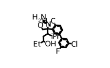 CCC(O)CC(C(C)C)C1(c2cc(-c3cc(F)cc(Cl)c3)ccc2C)COC(N)=N1